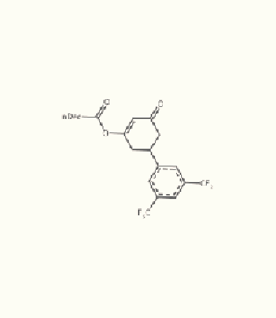 CCCCCCCCCCC(=O)OC1=CC(=O)CC(c2cc(C(F)(F)F)cc(C(F)(F)F)c2)C1